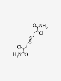 NC(=O)C(Cl)CCSSCCC(Cl)C(N)=O